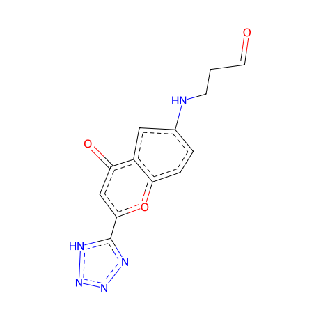 O=CCCNc1ccc2oc(-c3nnn[nH]3)cc(=O)c2c1